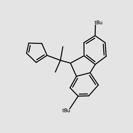 CC(C)(C)c1ccc2c(c1)C(C(C)(C)C1=CC=CC1)c1cc(C(C)(C)C)ccc1-2